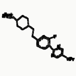 CCCCCC1CCC(CCc2ccc(-c3ncc(CCC)cn3)c(F)c2)CC1